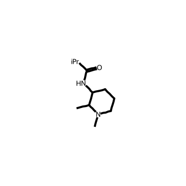 CC(C)C(=O)NC1CCCN(C)C1C